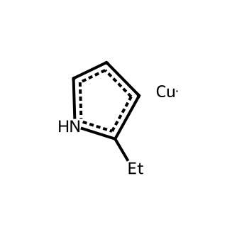 CCc1ccc[nH]1.[Cu]